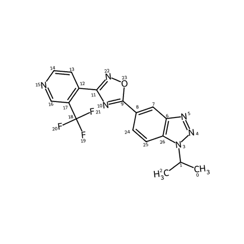 CC(C)n1nnc2cc(-c3nc(-c4ccncc4C(F)(F)F)no3)ccc21